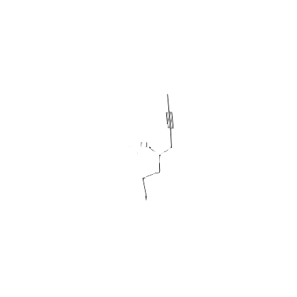 CC#CC[C@H](N)CCC